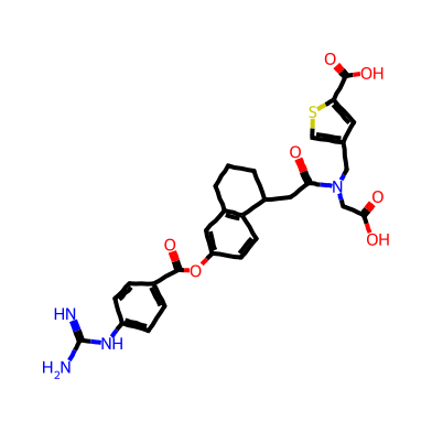 N=C(N)Nc1ccc(C(=O)Oc2ccc3c(c2)CCCC3CC(=O)N(CC(=O)O)Cc2csc(C(=O)O)c2)cc1